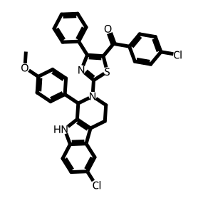 COc1ccc(C2c3[nH]c4ccc(Cl)cc4c3CCN2c2nc(-c3ccccc3)c(C(=O)c3ccc(Cl)cc3)s2)cc1